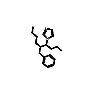 CCCCC(Cc1ccccc1)C(CCC)n1ccnc1